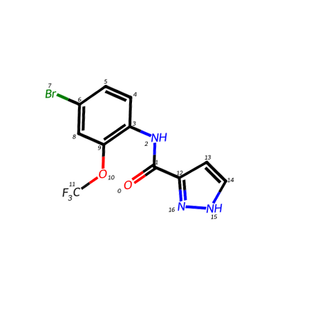 O=C(Nc1ccc(Br)cc1OC(F)(F)F)c1cc[nH]n1